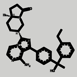 CCc1cccc(C(C)(O)c2ccc(-c3nc([C@@H]4CC[C@H]5CCC(=O)N5C4)n4ccnc(N)c34)cc2)c1